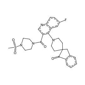 CS(=O)(=O)N1CCN(C(=O)c2cnc3ccc(F)cc3c2N2CCC3(CC2)Cc2ccccc2C3=O)CC1